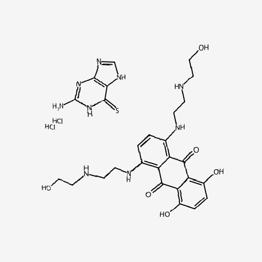 Cl.Cl.Nc1nc2nc[nH]c2c(=S)[nH]1.O=C1c2c(O)ccc(O)c2C(=O)c2c(NCCNCCO)ccc(NCCNCCO)c21